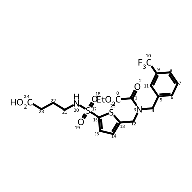 CCOC(=O)C(=O)N(Cc1cccc(C(F)(F)F)c1)Cc1ccc(S(=O)(=O)NCCCC(=O)O)s1